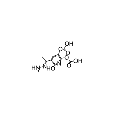 CNN=C(C)c1cc(OC(=O)O)c(OC(=O)O)nc1O